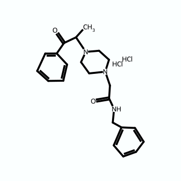 CC(C(=O)c1ccccc1)N1CCN(CC(=O)NCc2ccccc2)CC1.Cl.Cl